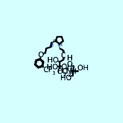 NC(CO)(CO)CO.O=C(O)C(O)(O)C(O)C=C=CC[C@H]1CCC[C@@H]1/C=C/CCOc1cccc(C(F)(F)F)c1